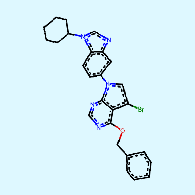 Brc1cn(-c2ccc3c(c2)ncn3C2CCCCC2)c2ncnc(OCc3ccccc3)c12